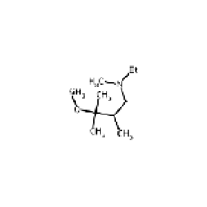 CCN(C)CC(C)C(C)(C)O[SiH3]